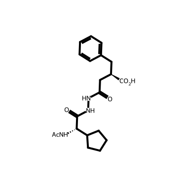 CC(=O)N[C@H](C(=O)NNC(=O)C[C@@H](Cc1ccccc1)C(=O)O)C1CCCC1